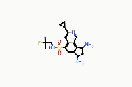 CC(C)(F)CNS(=O)(=O)c1cc2c(c3cnc(C4CC4)cc13)C(N)CC2N